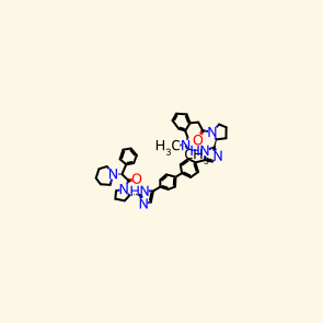 CN(C)Cc1ccccc1CC(=O)N1CCC[C@H]1c1ncc(-c2ccc(-c3ccc(-c4cnc([C@@H]5CCCN5C(=O)[C@@H](c5ccccc5)N5CCCCC5)[nH]4)cc3)cc2)[nH]1